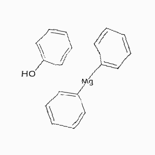 Oc1ccccc1.c1cc[c]([Mg][c]2ccccc2)cc1